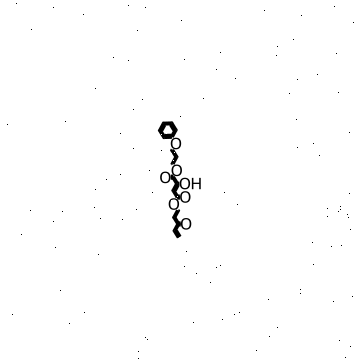 C=CC(=O)CCOC(=O)C=C(O)C(=O)OCCCOc1ccccc1